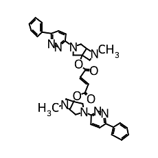 CN1CC2(OC(=O)/C=C/C(=O)OC34CN(c5ccc(-c6ccccc6)nn5)CC3N(C)C4)CN(c3ccc(-c4ccccc4)nn3)CC12